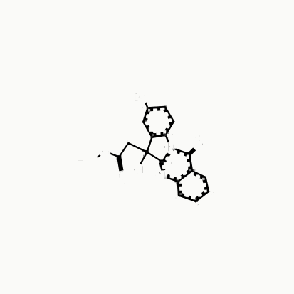 COC(=O)CC1(O)c2cc(Br)ccc2-n2c1nc1ccccc1c2=O